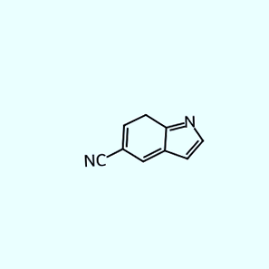 N#CC1=CCC2=NC=CC2=C1